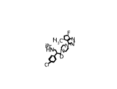 CC(C)NCC(C(=O)N1CCN(c2ncnc3c2[C@H](C)C[C@@H]3F)CC1)c1ccc(Cl)cc1